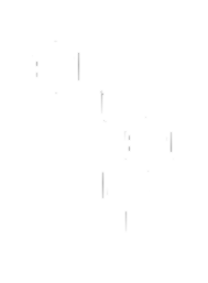 CC/C=C\c1c(C)ncnc1N(C=O)C(=O)c1ccccc1C